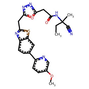 CCC(C)(C#N)NC(=O)Cc1nnc(Cc2nc3ccc(-c4ccc(OC)cn4)cc3s2)o1